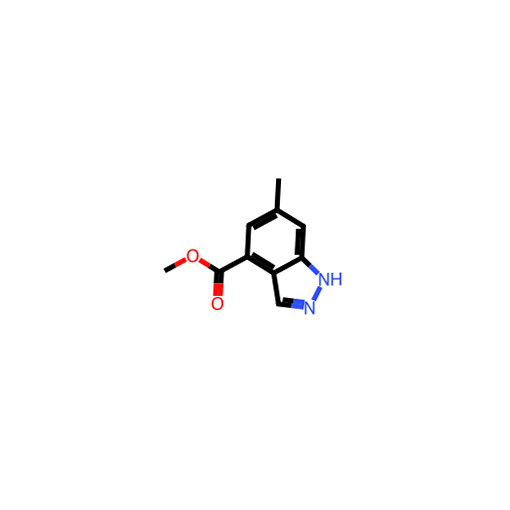 COC(=O)c1cc(C)cc2[nH]ncc12